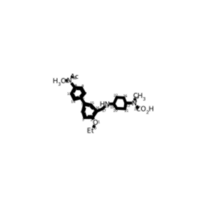 CCOc1ccc(-c2ccc(N(C)C(C)=O)cc2)cc1CNC1CCC(N(C)C(=O)O)CC1